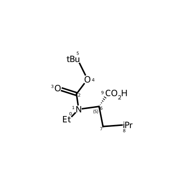 CCN(C(=O)OC(C)(C)C)[C@@H](CC(C)C)C(=O)O